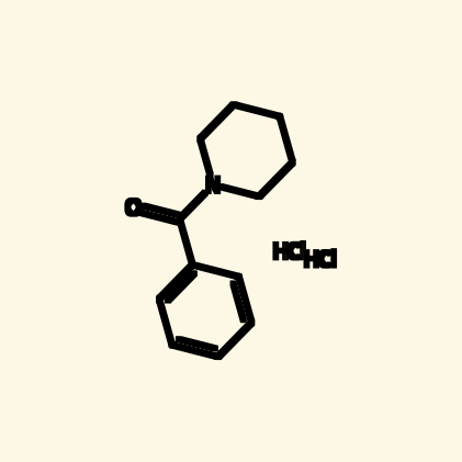 Cl.Cl.O=C(c1ccccc1)N1CCCCC1